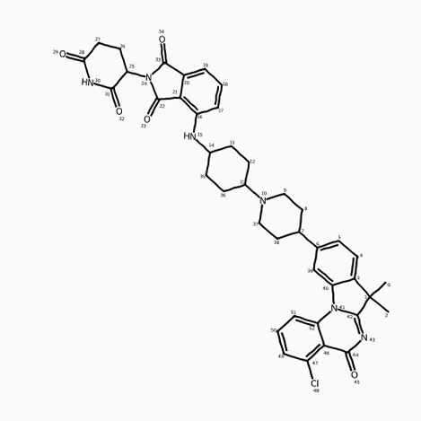 CC1(C)c2ccc(C3CCN(C4CCC(Nc5cccc6c5C(=O)N(C5CCC(=O)NC5=O)C6=O)CC4)CC3)cc2-n2c1nc(=O)c1c(Cl)cccc12